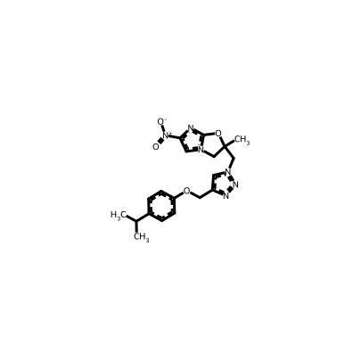 CC(C)c1ccc(OCc2cn(CC3(C)Cn4cc([N+](=O)[O-])nc4O3)nn2)cc1